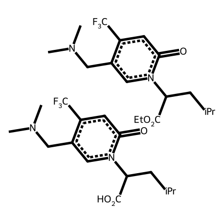 CC(C)CC(C(=O)O)n1cc(CN(C)C)c(C(F)(F)F)cc1=O.CCOC(=O)C(CC(C)C)n1cc(CN(C)C)c(C(F)(F)F)cc1=O